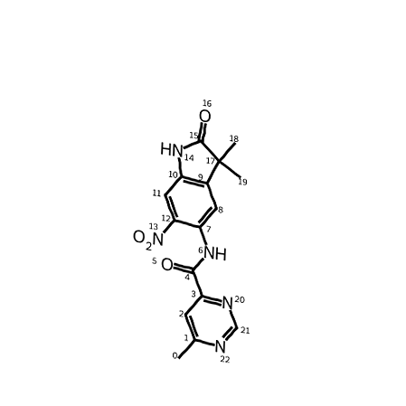 Cc1cc(C(=O)Nc2cc3c(cc2[N+](=O)[O-])NC(=O)C3(C)C)ncn1